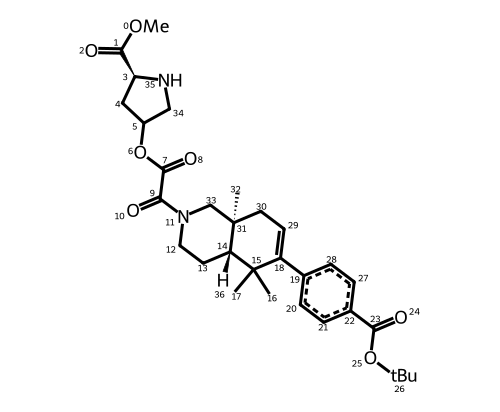 COC(=O)[C@@H]1CC(OC(=O)C(=O)N2CC[C@H]3C(C)(C)C(c4ccc(C(=O)OC(C)(C)C)cc4)=CC[C@]3(C)C2)CN1